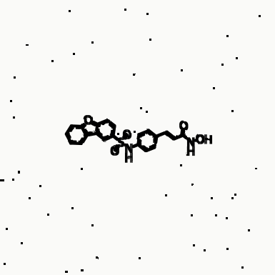 O=C(/C=C/c1ccc(NS(=O)(=O)c2ccc3oc4ccccc4c3c2)cc1)NO